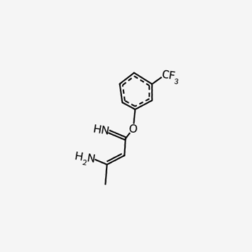 C/C(N)=C/C(=N)Oc1cccc(C(F)(F)F)c1